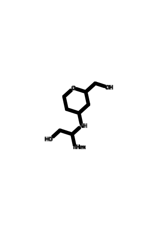 CCCCCCC(CO)NC1CCOC(CO)C1